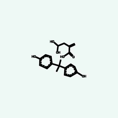 C=C(CC(O)O)C(=O)O.CC(C)(c1ccc(O)cc1)c1ccc(O)cc1